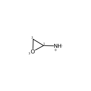 [NH]C1CO1